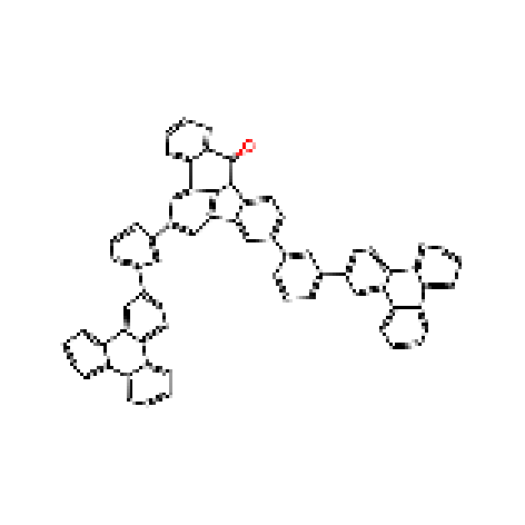 O=C1c2ccccc2-c2cc(-c3cccc(-c4ccc5c6ccccc6c6ccccc6c5c4)c3)cc3c2C1c1ccc(-c2cccc(-c4ccc5c6ccccc6c6ccccc6c5c4)c2)cc1-3